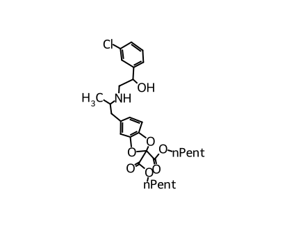 CCCCCOC(=O)C1(C(=O)OCCCCC)Oc2ccc(CC(C)NCC(O)c3cccc(Cl)c3)cc2O1